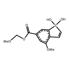 COCOC(=O)c1cc(OC)c2c(c1)S(O)(O)C=C2